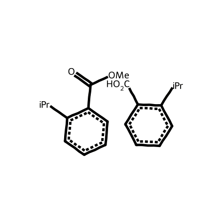 CC(C)c1ccccc1C(=O)O.COC(=O)c1ccccc1C(C)C